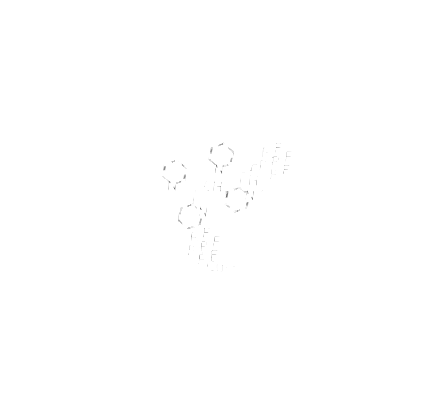 CC(c1ccccn1)c1ccccn1.CC(c1ccccn1)c1ccccn1.F[P-](F)(F)(F)(F)F.F[P-](F)(F)(F)(F)F.[Cu+2]